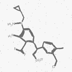 CCOC(=O)CC(c1ccc(C)c(CCl)c1)c1ccc(N(N)CC2CC2)c(N)c1C(F)F